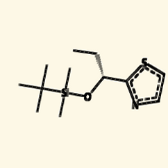 CC[C@@H](O[Si](C)(C)C(C)(C)C)c1nccs1